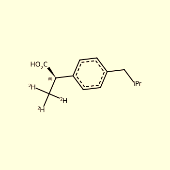 [2H]C([2H])([2H])[C@@H](C(=O)O)c1ccc(CC(C)C)cc1